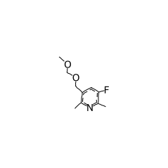 COCOCc1cc(F)c(C)nc1C